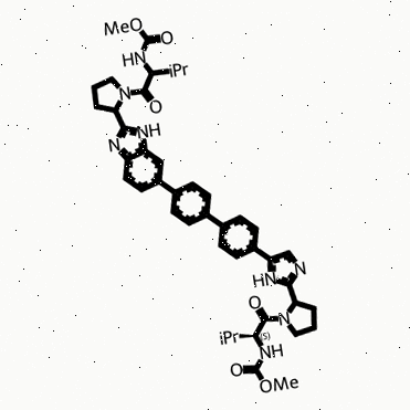 COC(=O)NC(C(=O)N1CCCC1c1nc2ccc(-c3ccc(-c4ccc(-c5cnc(C6CCCN6C(=O)[C@@H](NC(=O)OC)C(C)C)[nH]5)cc4)cc3)cc2[nH]1)C(C)C